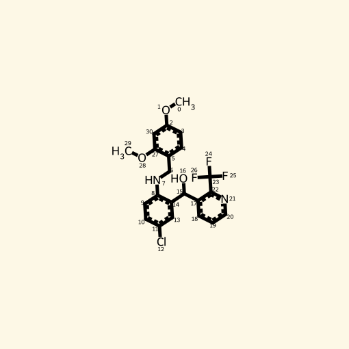 COc1ccc(CNc2ccc(Cl)cc2C(O)c2cccnc2C(F)(F)F)c(OC)c1